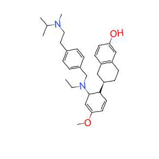 CCN(Cc1ccc(CCN(C)C(C)C)cc1)C1C=C(OC)C=CC1[C@@H]1CCc2cc(O)ccc2C1